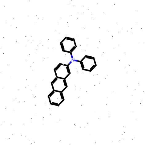 [c]1ccc2cc3ccc(N(c4ccccc4)c4ccccc4)cc3cc2c1